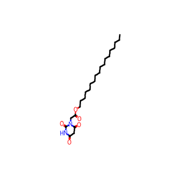 CCCCCCCCCCCCCCCCCCOC(=O)CN1C(=O)CC(=O)NC1=O